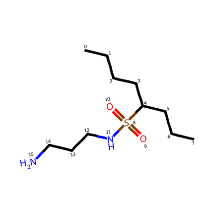 CCCCC(CCC)S(=O)(=O)NCCCN